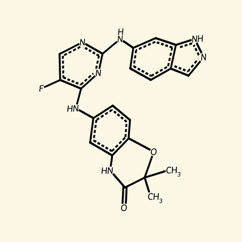 CC1(C)Oc2ccc(Nc3nc(Nc4ccc5cn[nH]c5c4)ncc3F)cc2NC1=O